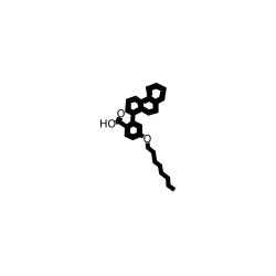 CCCCCCCCOc1ccc(C(=O)O)c(-c2cccc3c2ccc2ccccc23)c1